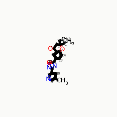 CCC1(CC)CC(=O)c2cc(-c3nc(-c4cncc(C)c4)no3)ccc2O1